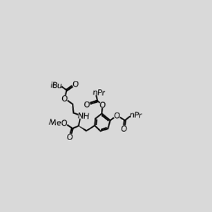 CCCC(=O)Oc1ccc(C[C@H](NCCOC(=O)C(C)CC)C(=O)OC)cc1OC(=O)CCC